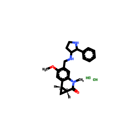 COc1cc2c(cc1CNC1CCNC1c1ccccc1)N(C)C(=O)[C@H]1C[C@@H]21.Cl.Cl